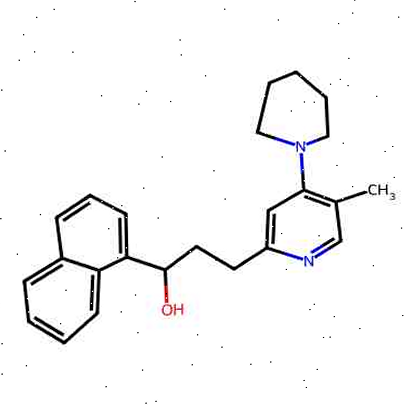 Cc1cnc(CCC(O)c2cccc3ccccc23)cc1N1CCCCC1